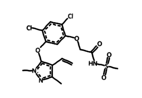 C=Cc1c(C)nn(C)c1Oc1cc(OCC(=O)NS(C)(=O)=O)c(Cl)cc1Cl